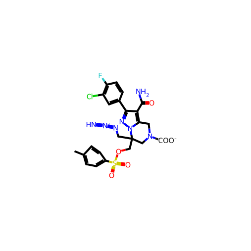 Cc1ccc(S(=O)(=O)OCC2(CN=[N+]=N)CN(C(=O)[O-])Cc3c(C(N)=O)c(-c4ccc(F)c(Cl)c4)nn32)cc1